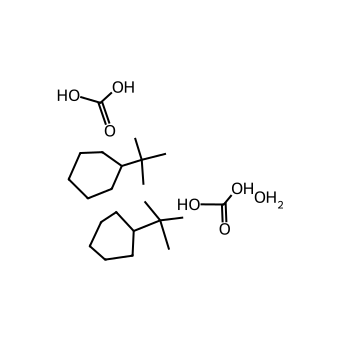 CC(C)(C)C1CCCCC1.CC(C)(C)C1CCCCC1.O.O=C(O)O.O=C(O)O